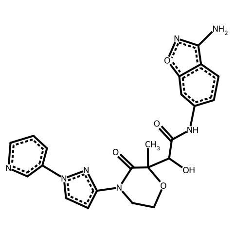 CC1(C(O)C(=O)Nc2ccc3c(N)noc3c2)OCCN(c2ccn(-c3cccnc3)n2)C1=O